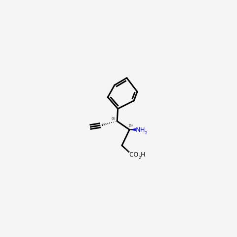 C#C[C@H](c1ccccc1)[C@@H](N)CC(=O)O